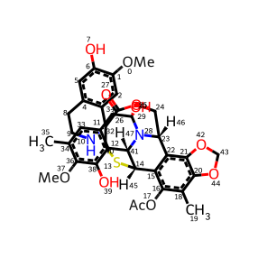 COc1cc2c(cc1O)CCN[C@]21CS[C@H]2c3c(OC(C)=O)c(C)c4c(c3[C@@H](COC1=O)N1[C@H](O)Cc3cc(C)c(OC)c(O)c3[C@@H]21)OCO4